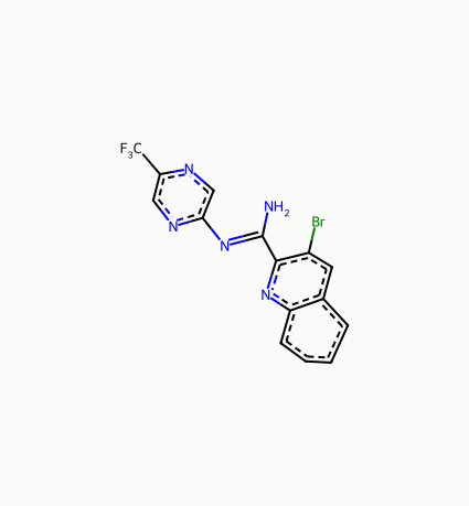 NC(=Nc1cnc(C(F)(F)F)cn1)c1nc2ccccc2cc1Br